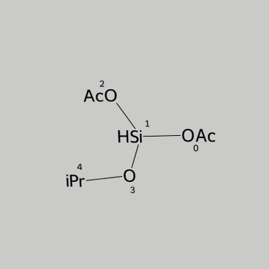 CC(=O)O[SiH](OC(C)=O)OC(C)C